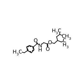 CCc1ccc(C(=O)NCC(=O)OCC(CC)CC(C)C)cc1